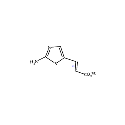 CCOC(=O)/C=C/c1cnc(N)s1